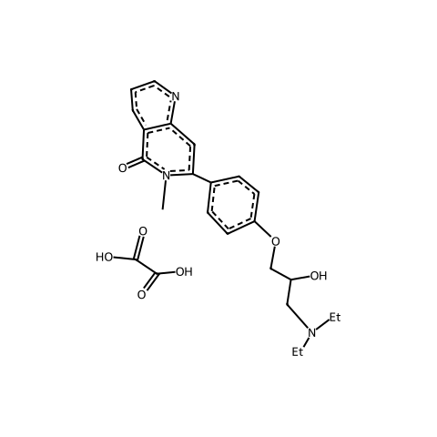 CCN(CC)CC(O)COc1ccc(-c2cc3ncccc3c(=O)n2C)cc1.O=C(O)C(=O)O